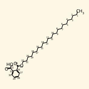 CCCCCCCCCCCCCCCCCCCCCCCOC(=O)c1ccccc1C(=O)O